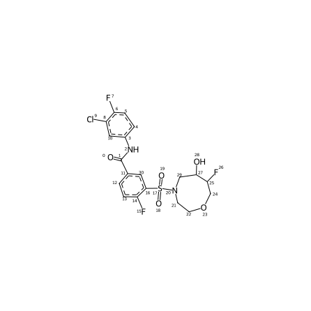 O=C(Nc1ccc(F)c(Cl)c1)c1ccc(F)c(S(=O)(=O)N2CCOCC(F)C(O)C2)c1